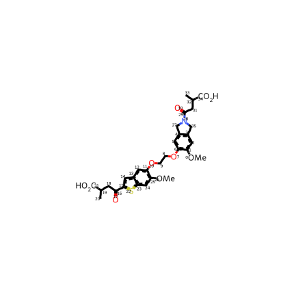 COc1cc2c(cc1OCCOc1cc3cc(C(=O)CC(C)C(=O)O)sc3cc1OC)CN(C(=O)CC(C)C(=O)O)C2